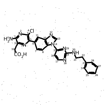 Nc1nc(Cl)c(-c2ccc3c(c2)ncn3-c2ccnc(NCCc3ccccc3)n2)nc1CC(=O)O